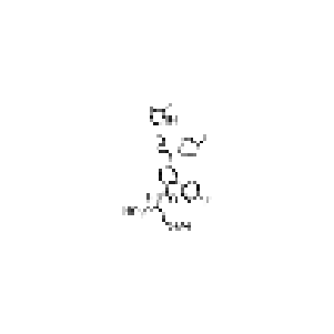 CSCC[C@H](NC(=O)c1ccc(C(OCCc2cnc(C)[nH]2)c2ccc(F)cc2)cc1-c1ccc(F)cc1)C(=O)O